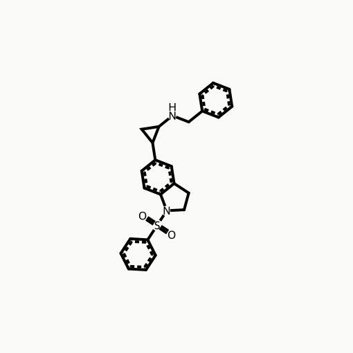 O=S(=O)(c1ccccc1)N1CCc2cc(C3CC3NCc3ccccc3)ccc21